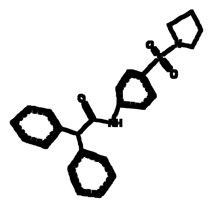 O=C(Nc1ccc(S(=O)(=O)N2CCCC2)cc1)C(c1ccccc1)c1ccccc1